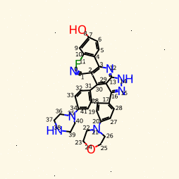 N#Cc1c(-c2ccc(O)cc2F)nc2[nH]nc(-c3ccc(N4CCOCC4)cc3)c2c1-c1ccc(N2CCNCC2)cc1